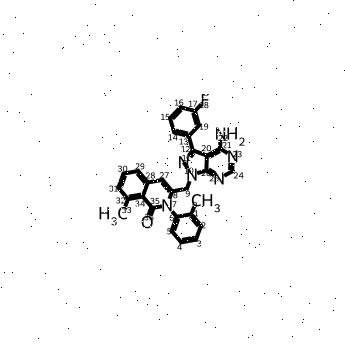 Cc1ccccc1-n1c(Cn2nc(-c3cccc(F)c3)c3c(N)ncnc32)cc2cccc(C)c2c1=O